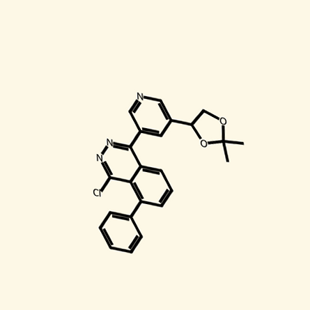 CC1(C)OCC(c2cncc(-c3nnc(Cl)c4c(-c5ccccc5)cccc34)c2)O1